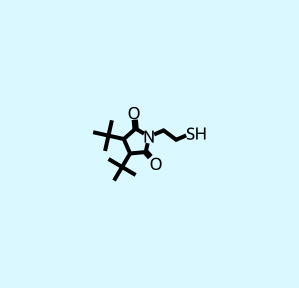 CC(C)(C)C1C(=O)N(CCS)C(=O)C1C(C)(C)C